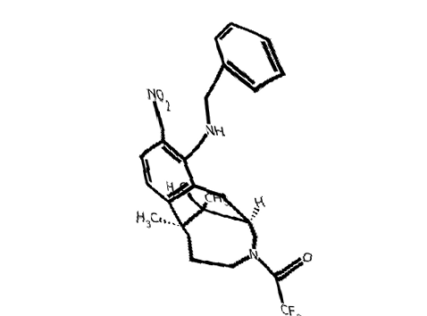 CC1(C)[C@H]2Cc3c(ccc([N+](=O)[O-])c3NCc3ccccc3)[C@]1(C)CCN2C(=O)C(F)(F)F